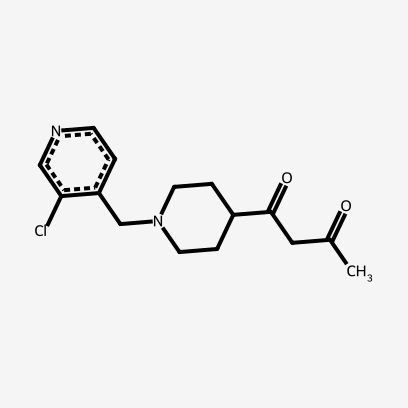 CC(=O)CC(=O)C1CCN(Cc2ccncc2Cl)CC1